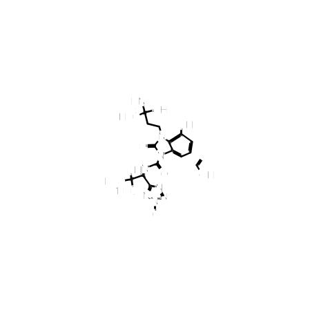 Cc1cccc2c1n(CCC(C)(C)N)c(=O)n2C(=O)NC(c1nnn(C)n1)C(C)(C)C.O=CO